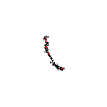 CC(C)(C)c1cnc(CSc2cnc(NC(=O)C3CCN(CC(=O)NCCOCCOCCOCCNCC(=O)NCc4cc5c(s4)C(=O)N(C4CCC(=O)NC4=O)C5)CC3)s2)o1